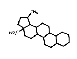 CC1CCC2(C(=O)O)CCC3C4CCC5CCCCC5C4CCC3C12